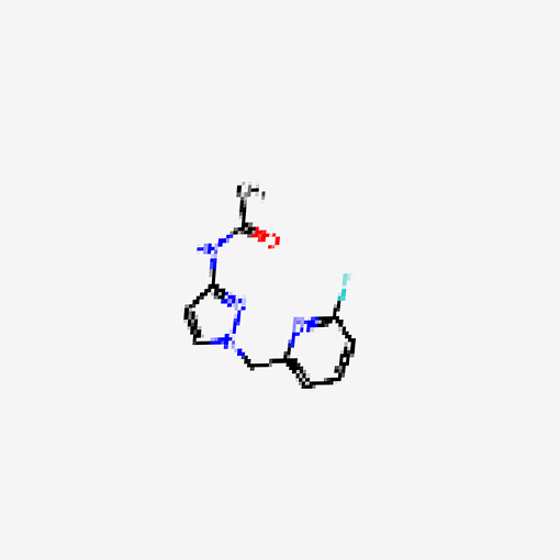 CC(=O)Nc1ccn(Cc2cccc(F)n2)n1